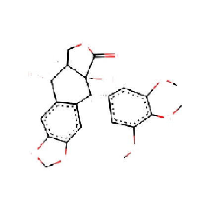 B[C@]12C(=O)OC[C@@H]1[C@@H](O)c1cc3c(cc1[C@H]2c1cc(OC)c(OC)c(OC)c1)OCO3